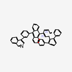 C=C/C=C\C(=C/Cc1c(-c2ccccc2)cccc1-c1ccccc1)c1c2ccccc2c(-c2cccc(-c3cncc4ccccc34)c2)c2ccccc12